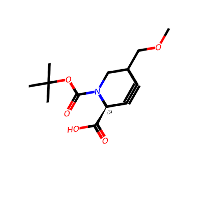 COCC1C#C[C@@H](C(=O)O)N(C(=O)OC(C)(C)C)C1